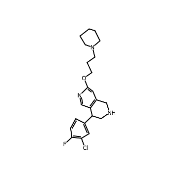 Fc1ccc(C2CNCc3cc(OCCCN4CCCCC4)ncc32)cc1Cl